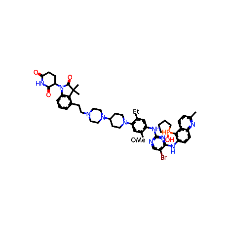 CCc1cc(Nc2ncc(Br)c(Nc3ccc4nc(C)ccc4c3[PH]3(O)CCCC3)n2)c(OC)cc1N1CCC(N2CCN(CCc3cccc4c3C(C)(C)C(=O)N4C3CCC(=O)NC3=O)CC2)CC1